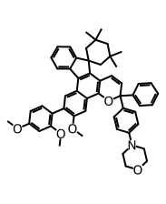 COc1ccc(-c2cc3c4c(c5c(c3cc2OC)OC(c2ccccc2)(c2ccc(N3CCOCC3)cc2)C=C5)C2(CC(C)(C)CC(C)(C)C2)c2ccccc2-4)c(OC)c1